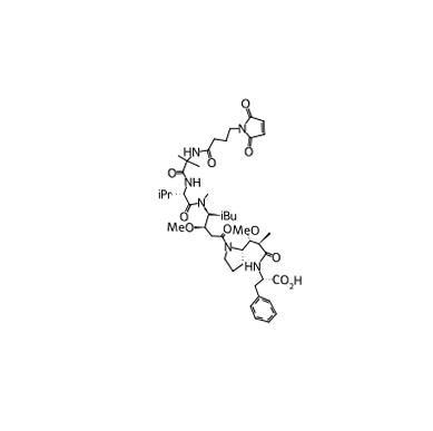 CC[C@H](C)[C@@H]([C@@H](CC(=O)N1CCC[C@H]1[C@H](OC)[C@@H](C)C(=O)N[C@@H](Cc1ccccc1)C(=O)O)OC)N(C)C(=O)[C@@H](NC(=O)C(C)(C)NC(=O)CCCN1C(=O)C=CC1=O)C(C)C